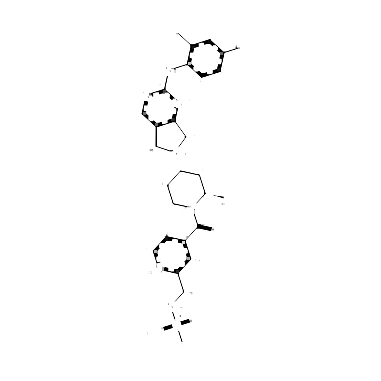 Cc1cc(Cl)ccc1Nc1ncc2c(n1)CN([C@H]1CCN(C(=O)c3ccnc(CNS(C)(=O)=O)c3)[C@H](C)C1)C2